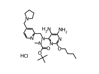 CCCCOc1nc(N)c(N)c(N(Cc2cc(CN3CCCC3)ccn2)N(C)C(=O)OC(C)(C)C)n1.Cl